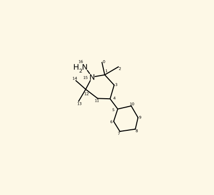 CC1(C)CC(C2CCCCC2)CC(C)(C)N1N